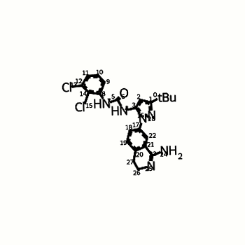 CC(C)(C)c1cc(NC(=O)Nc2cccc(Cl)c2Cl)n(-c2ccc3c(c2)C(N)=NCC3)n1